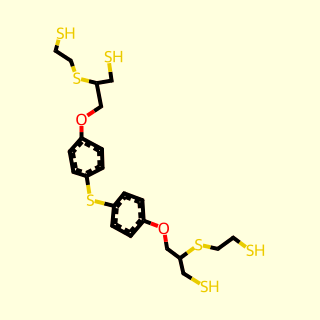 SCCSC(CS)COc1ccc(Sc2ccc(OCC(CS)SCCS)cc2)cc1